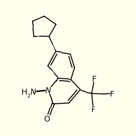 Nn1c(=O)cc(C(F)(F)F)c2ccc(C3CCCC3)cc21